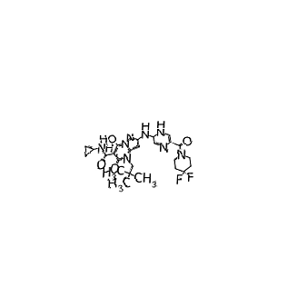 CC(C)(C)Cn1c(=O)c(C(=O)NC2CC2)c(O)n2nc(NC3C=NC(C(=O)N4CCC(F)(F)CC4)=CN3)cc12